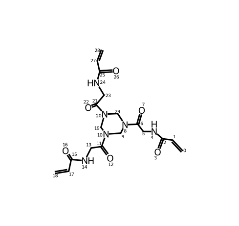 C=CC(=O)NCC(=O)N1CN(C(=O)CNC(=O)C=C)CN(C(=O)CNC(=O)C=C)C1